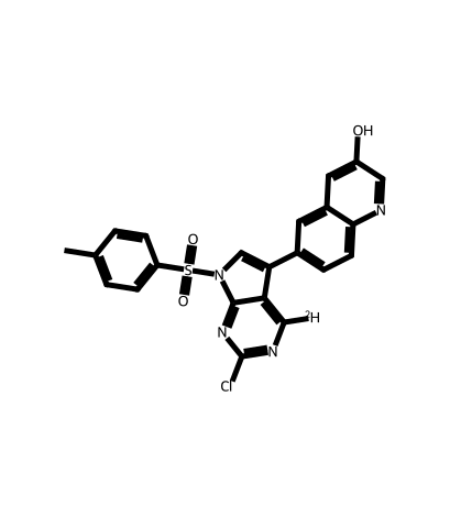 [2H]c1nc(Cl)nc2c1c(-c1ccc3ncc(O)cc3c1)cn2S(=O)(=O)c1ccc(C)cc1